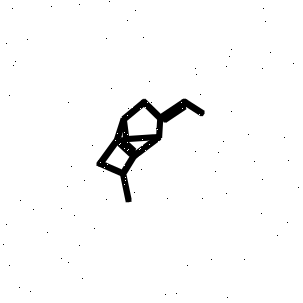 CC=C1CC2CC1C1=C2CC1C